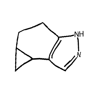 c1n[nH]c2c1C1CC1CC2